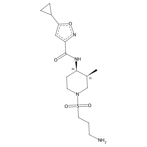 C[C@H]1CN(S(=O)(=O)CCCN)CC[C@H]1NC(=O)c1cc(C2CC2)on1